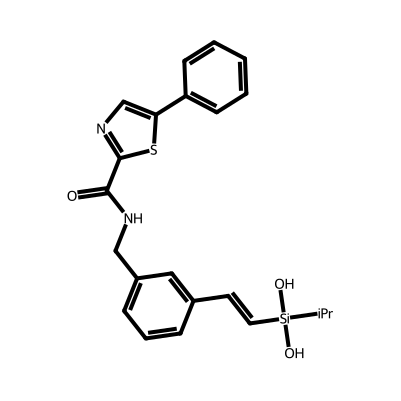 CC(C)[Si](O)(O)C=Cc1cccc(CNC(=O)c2ncc(-c3ccccc3)s2)c1